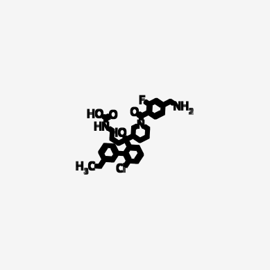 CCc1cccc(-c2c(Cl)cccc2C(O)(CCCNC(=O)O)C2CCCN(C(=O)c3ccc(CN)cc3F)C2)c1